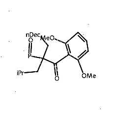 CCCCCCCCCCCC(CC(C)C)(P=O)C(=O)c1c(OC)cccc1OC